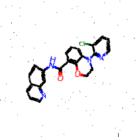 O=C(Nc1ccc2cccnc2c1)c1cccc2c1OCCN2c1ncccc1Cl